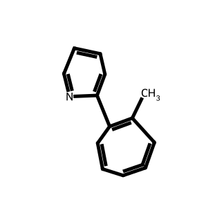 CC1=C(c2ccccn2)C=CC=C=C1